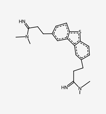 CN(C)C(=N)CCc1ccc2sc3ccc(CCC(=N)N(C)C)cc3c2c1